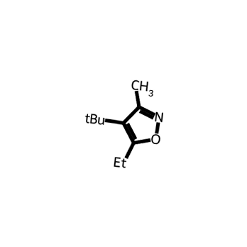 CCc1onc(C)c1C(C)(C)C